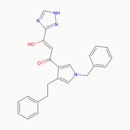 O=C(C=C(O)c1nc[nH]n1)c1cn(Cc2ccccc2)cc1CCc1ccccc1